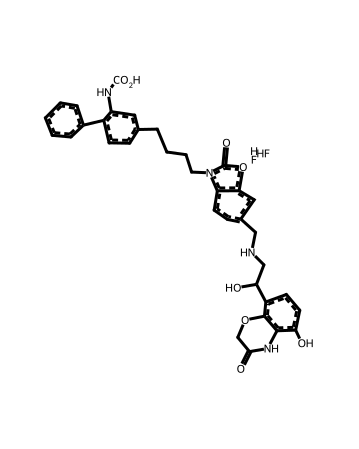 F.F.O=C(O)Nc1cc(CCCCn2c(=O)oc3cc(CNCC(O)c4ccc(O)c5c4OCC(=O)N5)ccc32)ccc1-c1ccccc1